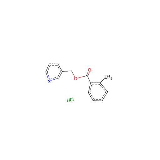 Cc1ccccc1C(=O)OCc1cccnc1.Cl